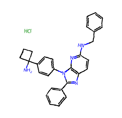 Cl.NC1(c2ccc(-n3c(-c4ccccc4)nc4ccc(NCc5ccccc5)nc43)cc2)CCC1